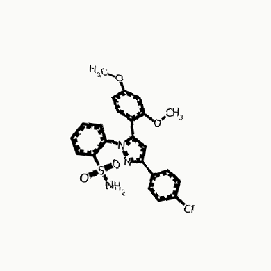 COc1ccc(-c2cc(-c3ccc(Cl)cc3)nn2-c2ccccc2S(N)(=O)=O)c(OC)c1